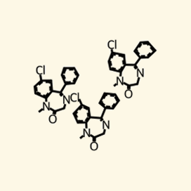 CN1C(=O)CN=C(c2ccccc2)c2cc(Cl)ccc21.CN1C(=O)CN=C(c2ccccc2)c2cc(Cl)ccc21.CN1C(=O)CN=C(c2ccccc2)c2cc(Cl)ccc21